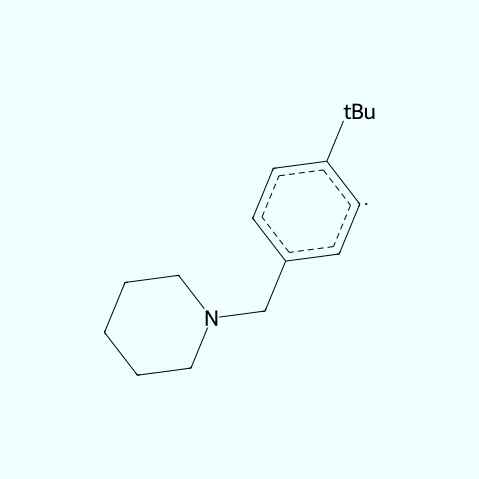 CC(C)(C)c1[c]cc(CN2CCCCC2)cc1